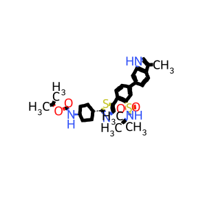 Cc1c[nH]c2cc(-c3ccc(-c4cnc([C@H]5CC[C@H](NC(=O)OC(C)C)CC5)s4)c(S(=O)(=O)NC(C)(C)C)c3)ccc12